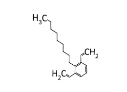 C=Cc1cccc(C=C)c1CCCCCCCCC